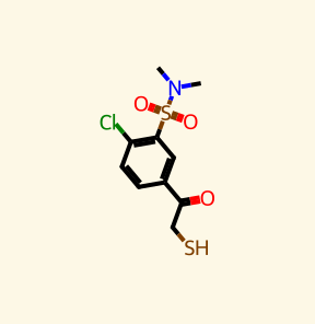 CN(C)S(=O)(=O)c1cc(C(=O)CS)ccc1Cl